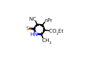 CCCc1c(C(=O)OCC)c(C)[nH]c(=S)c1C#N